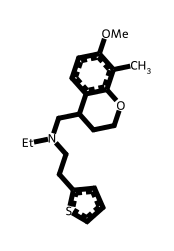 CCN(CCc1cccs1)CC1CCOc2c1ccc(OC)c2C